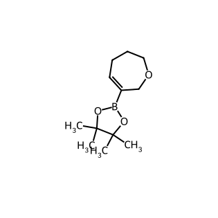 CC1(C)OB(C2=CCCCOC2)OC1(C)C